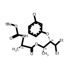 CCC(CC)[C@@H](Oc1cccc(Cl)c1)[C@H](C)OC(=O)[C@H](C)NC(=O)OC(C)(C)C